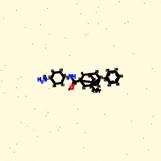 CCC[C@]12CC3CC(C(=O)N[C@H]4CC[C@@H](N)CC4)(C1)C[C@@](c1ccccc1)(C3)C2